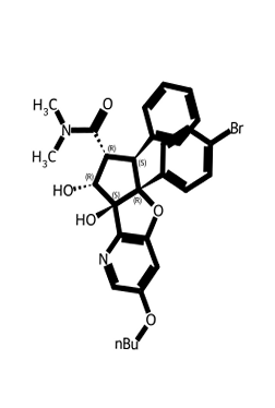 CCCCOc1cnc2c(c1)O[C@@]1(c3ccc(Br)cc3)[C@H](c3ccccc3)[C@@H](C(=O)N(C)C)[C@@H](O)[C@@]21O